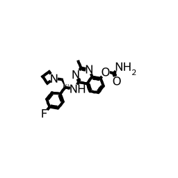 Cc1nc(N[C@H](CN2CCC2)c2ccc(F)cc2)c2cccc(OC(N)=O)c2n1